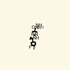 NNC(=O)c1cnc(NC2(c3ccc(F)c(F)c3)CC2)nc1